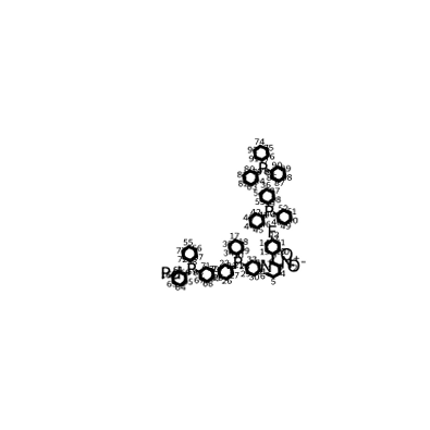 O=[N+]([O-])c1cccnc1-c1ccc(F)cc1.[Pd].c1ccc(P(c2ccccc2)c2ccccc2)cc1.c1ccc(P(c2ccccc2)c2ccccc2)cc1.c1ccc(P(c2ccccc2)c2ccccc2)cc1.c1ccc(P(c2ccccc2)c2ccccc2)cc1